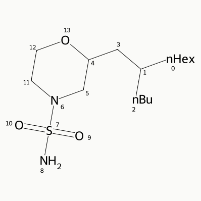 CCCCCCC(CCCC)CC1CN(S(N)(=O)=O)CCO1